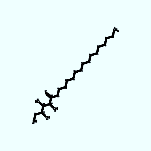 CCCCCCCCCCCCCCCCC(=O)C(O)C(O)C(O)CO